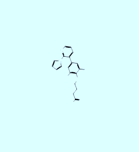 O=C(O)CCCOc1c(F)cc(-c2cccnc2-n2cccc2)cc1F